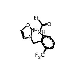 CCC(=O)Nc1cccc(C(F)(F)F)c1CN1C=CON1